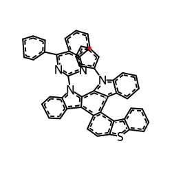 c1ccc(-c2nc(-n3c4ccccc4c4c5ccc6sc7ccccc7c6c5c5c6ccccc6n(-c6ccccc6)c5c43)nc3ccccc23)cc1